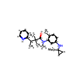 COC1(Nc2ccc(C)c(N(C)C(=O)C(C)(C)C(C)c3ccccn3)c2)CC1